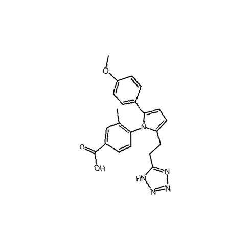 COc1ccc(-c2ccc(CCc3nnn[nH]3)n2-c2ccc(C(=O)O)cc2C)cc1